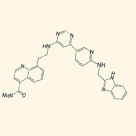 CNC(=O)c1ccnc2c(CCNc3cc(-c4ccc(NCc5nc6ccccc6[nH]5)nc4)ncn3)cccc12